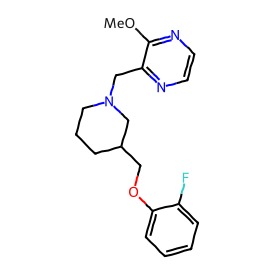 COc1nccnc1CN1CCCC(COc2ccccc2F)C1